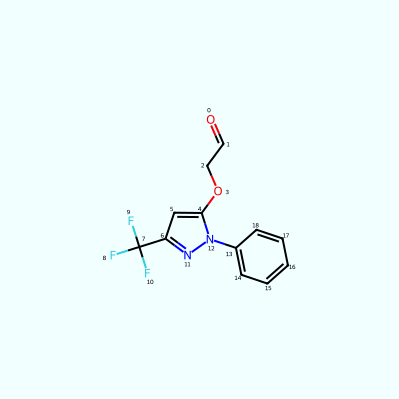 O=CCOc1cc(C(F)(F)F)nn1-c1ccccc1